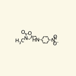 CN1C[C@H](CNc2ccc([N+](=O)[O-])cc2)OC1=O